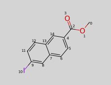 COC(=O)c1ccc2cc(I)ccc2c1